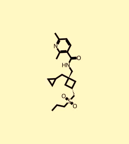 CCCS(=O)(=O)C[C@H]1C[C@@](CNC(=O)c2ccc(C)nc2C)(CC2CC2)C1